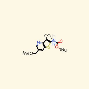 COCc1cnc2c(C(=O)O)c(NC(=O)OC(C)(C)C)sc2c1